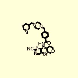 CN1CCCC(CN2CCN(Cc3ccc(C(=O)NN(c4nc(C#N)ncc4Br)C4CCOCC4)cc3)CC2)C1